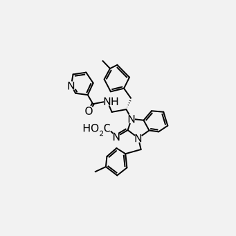 Cc1ccc(C[C@@H](CNC(=O)c2cccnc2)n2c(=NC(=O)O)n(Cc3ccc(C)cc3)c3ccccc32)cc1